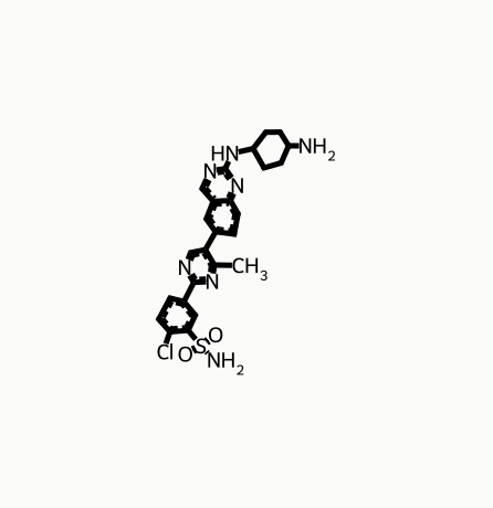 Cc1nc(-c2ccc(Cl)c(S(N)(=O)=O)c2)ncc1-c1ccc2nc(NC3CCC(N)CC3)ncc2c1